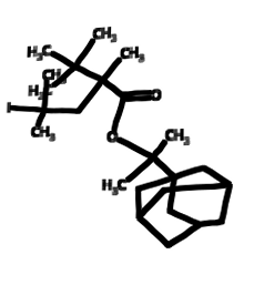 CC(C)(I)CC(C)(C(=O)OC(C)(C)C12CC3CC(CC(C3)C1)C2)C(C)(C)C